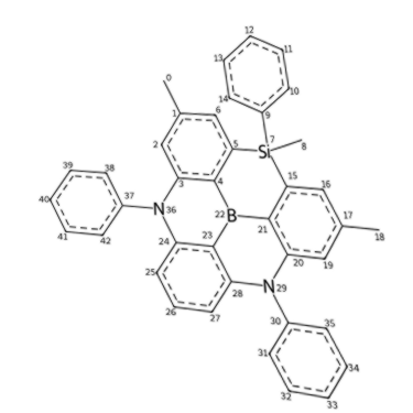 Cc1cc2c3c(c1)[Si](C)(c1ccccc1)c1cc(C)cc4c1B3c1c(cccc1N4c1ccccc1)N2c1ccccc1